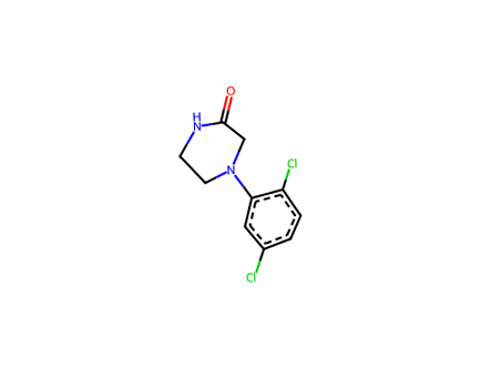 O=C1CN(c2cc(Cl)ccc2Cl)CCN1